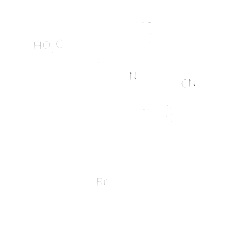 N#Cc1ccc(Br)cc1N1CCC[C@@H](C(=O)O)C1